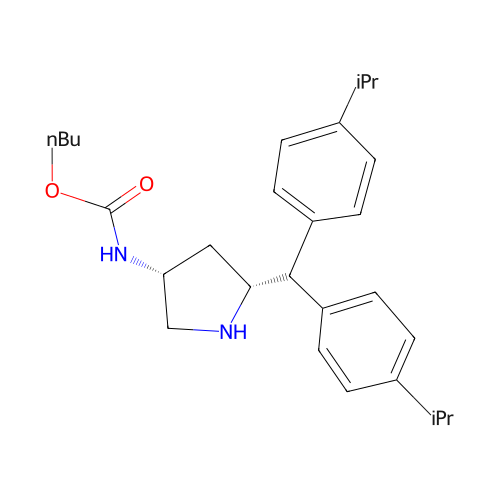 CCCCOC(=O)N[C@H]1CN[C@@H](C(c2ccc(C(C)C)cc2)c2ccc(C(C)C)cc2)C1